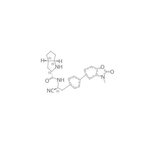 Cn1c(=O)oc2ccc(-c3ccc(C[C@@H](C#N)NC(=O)[C@@H]4C[C@@H]5CCC[C@@H]5N4)cc3)cc21